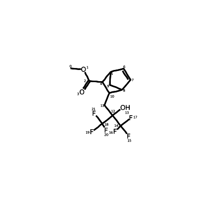 COC(=O)C1C2C=CC(C2)C1CC(O)(C(F)(F)F)C(F)(F)F